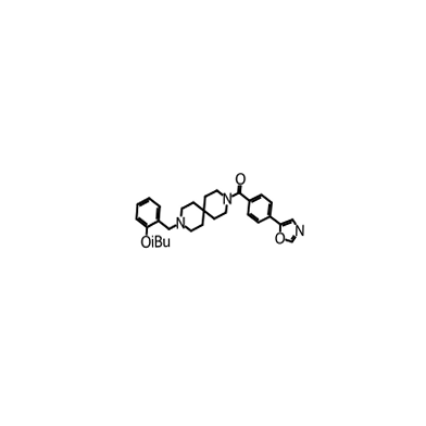 CC(C)COc1ccccc1CN1CCC2(CC1)CCN(C(=O)c1ccc(-c3cnco3)cc1)CC2